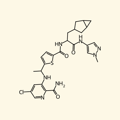 CC(Nc1cc(Cl)cnc1C(N)=O)c1ccc(C(=O)NC(CC2CC3CC3C2)C(=O)Nc2cnn(C)c2)s1